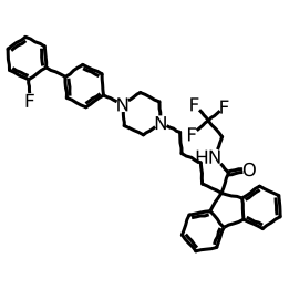 O=C(NCC(F)(F)F)C1(CCCCN2CCN(c3ccc(-c4ccccc4F)cc3)CC2)c2ccccc2-c2ccccc21